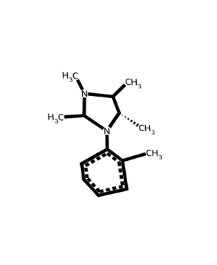 Cc1ccccc1N1C(C)N(C)C(C)[C@@H]1C